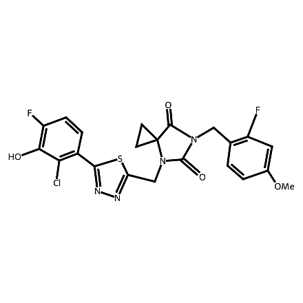 COc1ccc(CN2C(=O)N(Cc3nnc(-c4ccc(F)c(O)c4Cl)s3)C3(CC3)C2=O)c(F)c1